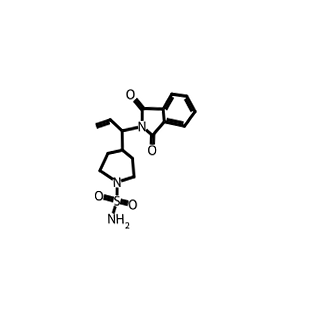 C=CC(C1CCN(S(N)(=O)=O)CC1)N1C(=O)c2ccccc2C1=O